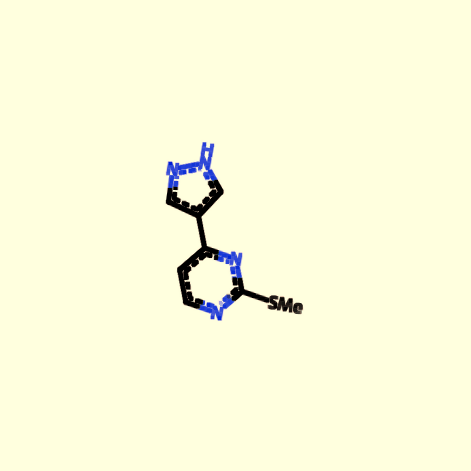 CSc1nccc(-c2cn[nH]c2)n1